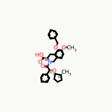 COc1ccc2c(c1OCc1ccccc1)C[C@H](C(=O)O)N(C(=O)[C@@H](O[C@H]1CCC[C@@H]1C)c1ccccc1)C2